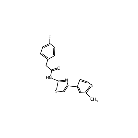 Cc1cc(-c2csc(NC(=O)Cc3ccc(F)cc3)n2)ccn1